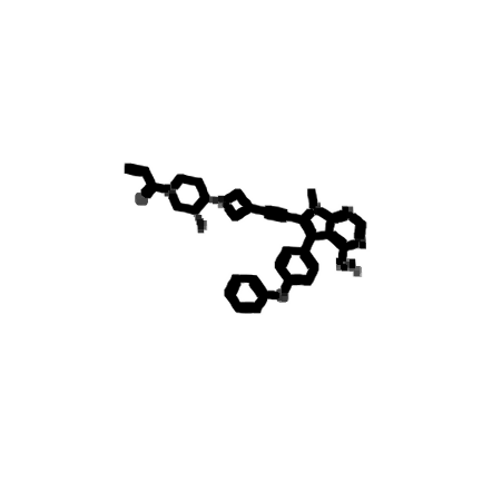 C=CC(=O)N1CC[C@H](N2CC(C#Cc3c(-c4ccc(Oc5ccccc5)cc4)c4c(N)ncnc4n3C)C2)[C@H](F)C1